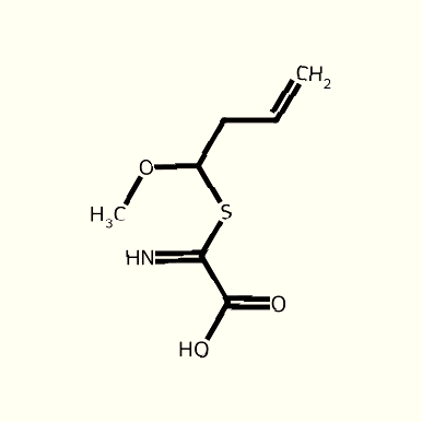 C=CCC(OC)SC(=N)C(=O)O